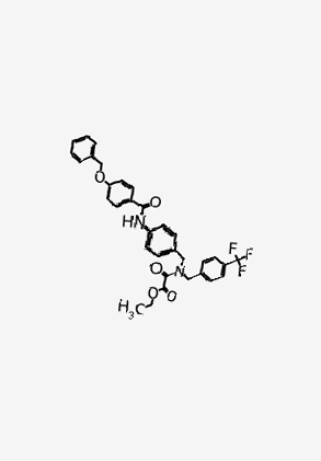 CCOC(=O)C(=O)N(Cc1ccc(NC(=O)c2ccc(OCc3ccccc3)cc2)cc1)Cc1ccc(C(F)(F)F)cc1